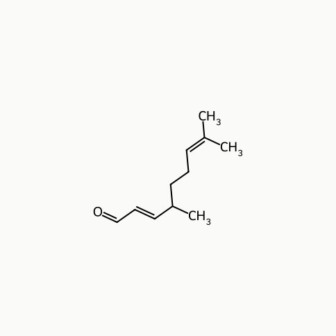 CC(C)=CCCC(C)/C=C/C=O